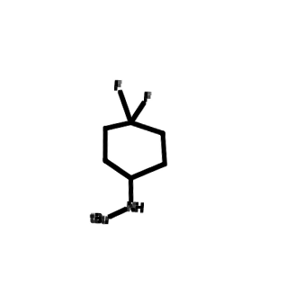 CC(C)(C)NC1CCC(F)(F)CC1